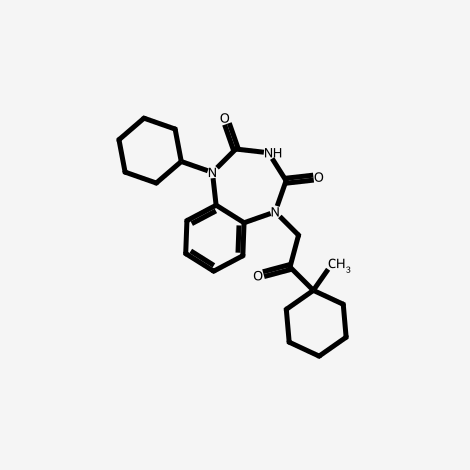 CC1(C(=O)CN2C(=O)NC(=O)N(C3CCCCC3)c3ccccc32)CCCCC1